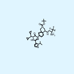 CC(C)n1nccc1C(=O)N[C@H](C(=O)Nc1ccc2c(c1)CN(C(=O)OC(C)(C)C)CC2NC[C@](C)(N)C(F)(F)F)C(C1CC1)C1CC1